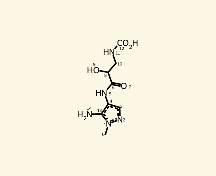 Cn1ncc(NC(=O)C(O)CNC(=O)O)c1N